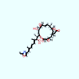 CC(/C=C/C=C(\C)[C@H](O)[C@@H](C)C1C[C@H](O)[C@]2(C)O[C@@H]2/C=C/[C@@H](C)[C@H]2C[C@H](CC(=O)O2)C[C@@H]2O[C@H]2C(=O)O1)=C\c1coc(C)n1